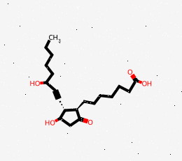 CCCCCC(O)C#C[C@H]1C(O)CC(=O)[C@@H]1CCCCCCC(=O)O